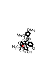 COc1ccc(S(=O)(=O)N2C(=O)C(c3ccoc3)(N3C[C@H](O)C[C@H]3C(=O)N(C)C)c3cc(Cl)ccc32)c(OC)c1